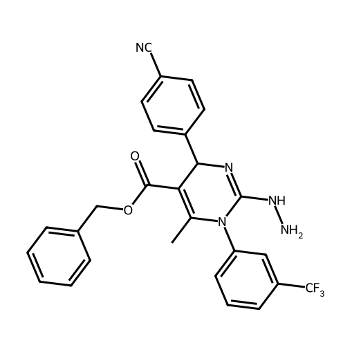 CC1=C(C(=O)OCc2ccccc2)C(c2ccc(C#N)cc2)N=C(NN)N1c1cccc(C(F)(F)F)c1